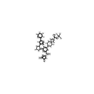 Cc1cc(Nc2cc(N3CCC4(CC3)CN(C(=O)OC(C)(C)C)C4)nc(N3CCCC3c3cc(-c4ccccn4)no3)n2)n[nH]1